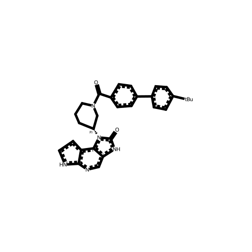 CC(C)(C)c1ccc(-c2ccc(C(=O)N3CCC[C@@H](n4c(=O)[nH]c5cnc6[nH]ccc6c54)C3)cc2)cc1